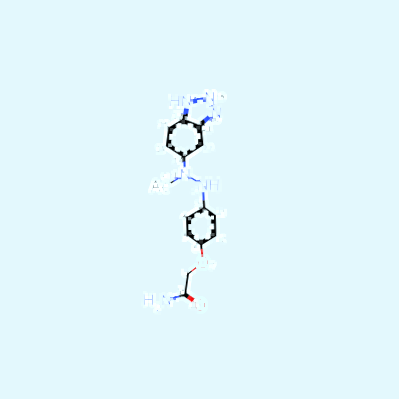 CC(=O)N(Nc1ccc(OCC(N)=O)cc1)c1ccc2[nH]nnc2c1